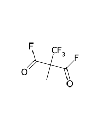 CC(C(=O)F)(C(=O)F)C(F)(F)F